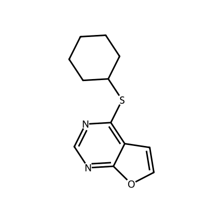 c1nc(SC2CCCCC2)c2ccoc2n1